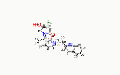 O=c1c2c(N3CC[C@@H](F)[C@H](O)C3)cccc2ccn1[C@@H]1C[C@H]1c1ccc2ccccc2n1